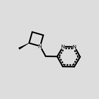 C[C@H]1CCN1Cc1cccnn1